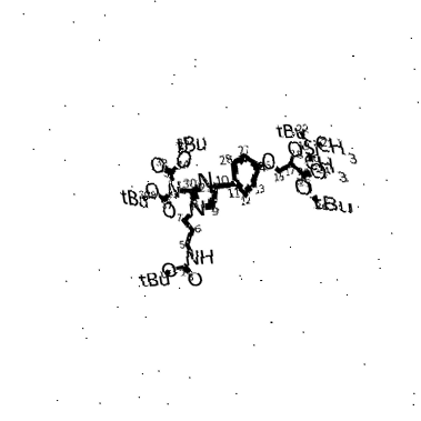 CC(C)(C)OC(=O)NCCCn1cc(-c2ccc(OCC(O[Si](C)(C)C(C)(C)C)C(=O)OC(C)(C)C)cc2)nc1N(C(=O)OC(C)(C)C)C(=O)OC(C)(C)C